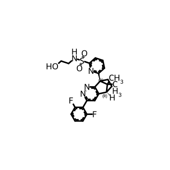 CC1(C)[C@H]2CC[C@@]1(c1cccc(S(=O)(=O)NCCO)n1)c1nnc(-c3c(F)cccc3F)cc12